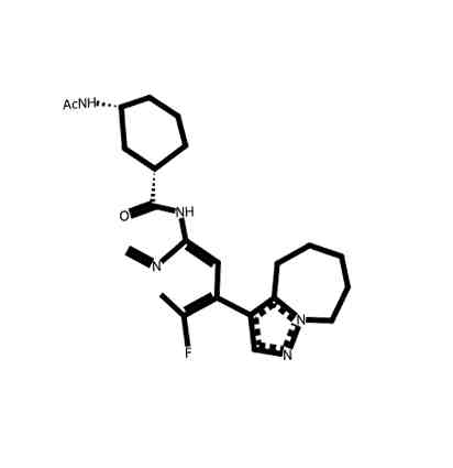 C=N/C(=C\C(=C(/C)F)c1cnn2c1CCCCC2)NC(=O)[C@H]1CCC[C@@H](NC(C)=O)C1